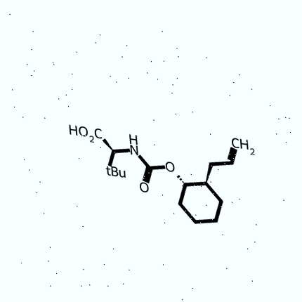 C=CC[C@H]1CCCC[C@@H]1OC(=O)N[C@H](C(=O)O)C(C)(C)C